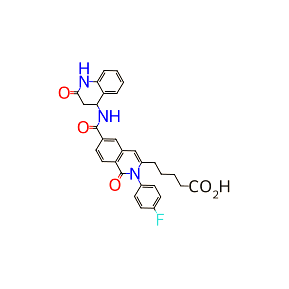 O=C(O)CCCCc1cc2cc(C(=O)NC3CC(=O)Nc4ccccc43)ccc2c(=O)n1-c1ccc(F)cc1